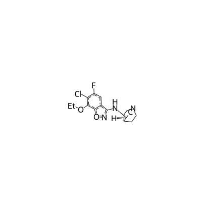 CCOc1c(Cl)c(F)cc2c(N[C@@H]3CN4CCC3CC4)noc12